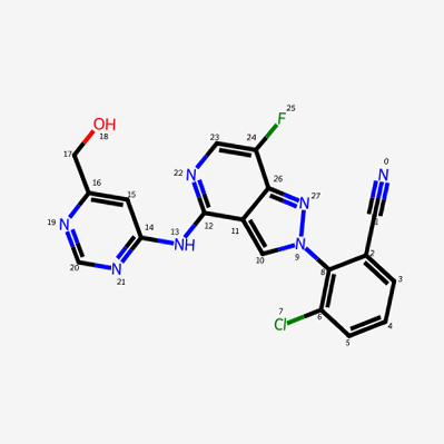 N#Cc1cccc(Cl)c1-n1cc2c(Nc3cc(CO)ncn3)ncc(F)c2n1